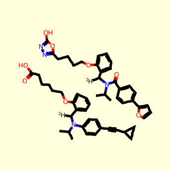 [2H]C(c1ccccc1OCCCCCC(=O)O)N(c1ccc(C#CC2CC2)cc1)C(C)C.[2H]C(c1ccccc1OCCCCc1nnc(O)o1)N(C(=O)c1ccc(-c2ccco2)cc1)C(C)C